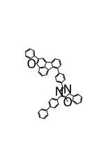 c1ccc(-c2ccc(-c3nc(-c4ccc(-c5cccc6c5-c5cccc7c5c-6cc5c6ccccc6oc75)cc4)nc4c3oc3ccccc34)cc2)cc1